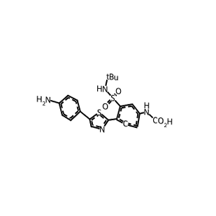 CC(C)(C)NS(=O)(=O)c1cc(NC(=O)O)ccc1-c1ncc(-c2ccc(N)cc2)s1